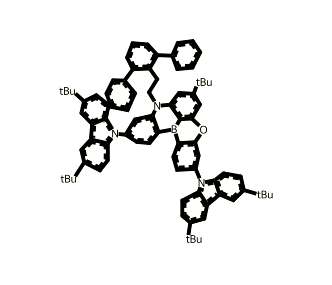 CC(C)(C)c1cc2c3c(c1)N(CCc1c(-c4ccccc4)cccc1-c1ccccc1)c1cc(-n4c5ccc(C(C)(C)C)cc5c5cc(C(C)(C)C)ccc54)ccc1B3c1ccc(-n3c4ccc(C(C)(C)C)cc4c4cc(C(C)(C)C)ccc43)cc1O2